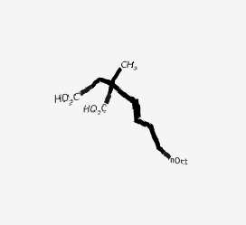 CCCCCCCCCCC=CC(C)(CC(=O)O)C(=O)O